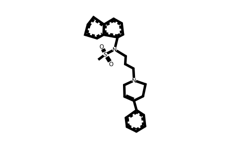 CS(=O)(=O)N(CCCN1CC=C(c2ccccc2)CC1)c1cccc2ccccc12